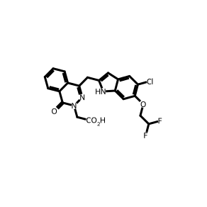 O=C(O)Cn1nc(Cc2cc3cc(Cl)c(OCC(F)F)cc3[nH]2)c2ccccc2c1=O